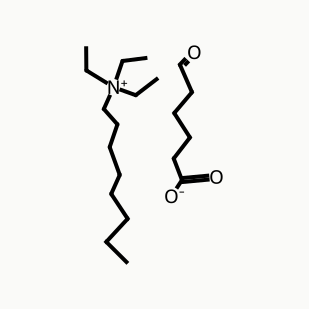 CCCCCCCC[N+](CC)(CC)CC.O=CCCCCC(=O)[O-]